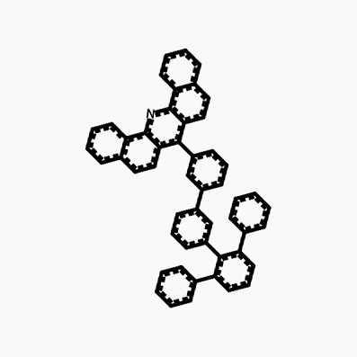 c1ccc(-c2cccc(-c3ccccc3)c2-c2cccc(-c3cccc(-c4c5ccc6ccccc6c5nc5c4ccc4ccccc45)c3)c2)cc1